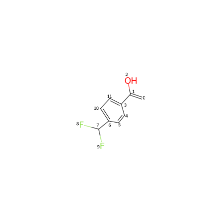 C=C(O)c1ccc(C(F)F)cc1